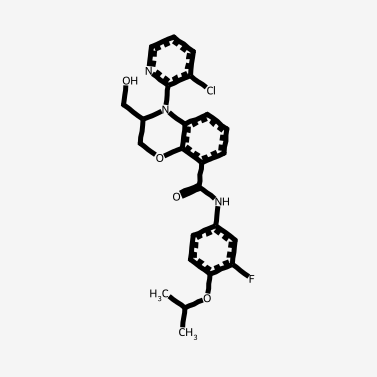 CC(C)Oc1ccc(NC(=O)c2cccc3c2OCC(CO)N3c2ncccc2Cl)cc1F